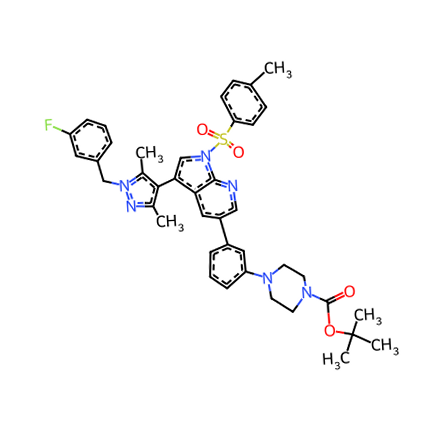 Cc1ccc(S(=O)(=O)n2cc(-c3c(C)nn(Cc4cccc(F)c4)c3C)c3cc(-c4cccc(N5CCN(C(=O)OC(C)(C)C)CC5)c4)cnc32)cc1